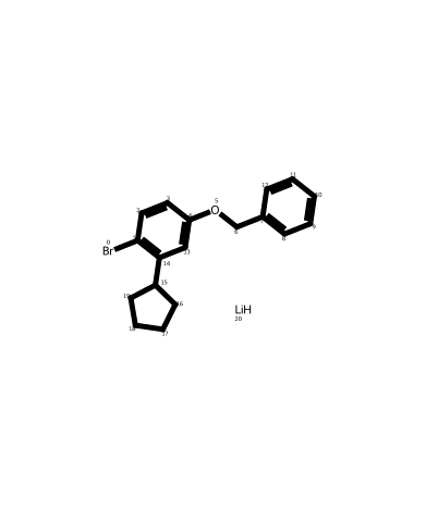 Brc1ccc(OCc2ccccc2)cc1C1CCCC1.[LiH]